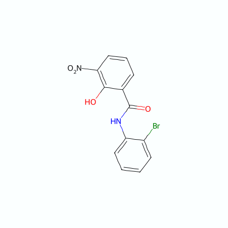 O=C(Nc1ccccc1Br)c1cccc([N+](=O)[O-])c1O